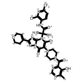 BC(B)(C(=O)Nc1ccc(C(F)(F)F)nc1Cl)n1c(CC)c(N2CCN(C(=O)c3ncnc(C)c3O)CC2)c(=O)n2nc(C3=CCOCC3)nc12